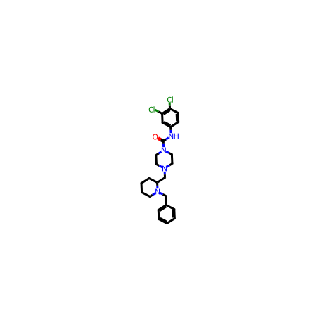 O=C(Nc1ccc(Cl)c(Cl)c1)N1CCN(CC2CCCCN2Cc2ccccc2)CC1